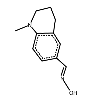 CN1CCCc2cc(/C=N/O)ccc21